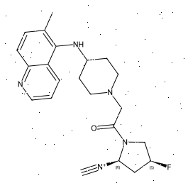 C#[N+][C@@H]1C[C@H](F)CN1C(=O)CN1CCC(Nc2c(C)ccc3ncccc23)CC1